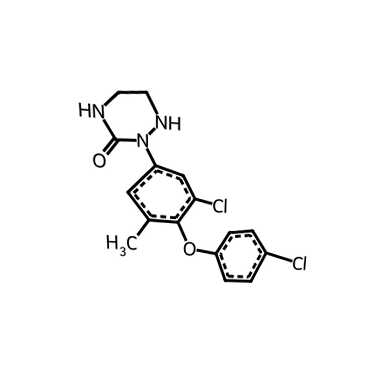 Cc1cc(N2NCCNC2=O)cc(Cl)c1Oc1ccc(Cl)cc1